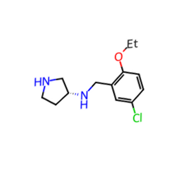 CCOc1ccc(Cl)cc1CN[C@@H]1CCNC1